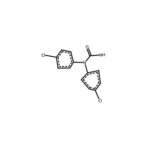 [NH]C(=O)N(c1ccc(Cl)cc1)c1ccc(Cl)cc1